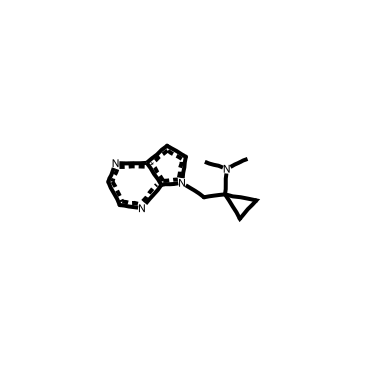 CN(C)C1(Cn2ccc3nccnc32)CC1